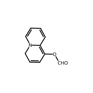 O=COC1=C2C=CC=CN2CC=C1